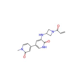 C=CC(=O)N1CC(Nc2cc(-c3ccn(C)c(=O)c3)c[nH]c2=O)C1